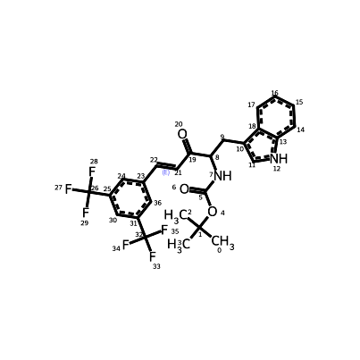 CC(C)(C)OC(=O)NC(Cc1c[nH]c2ccccc12)C(=O)/C=C/c1cc(C(F)(F)F)cc(C(F)(F)F)c1